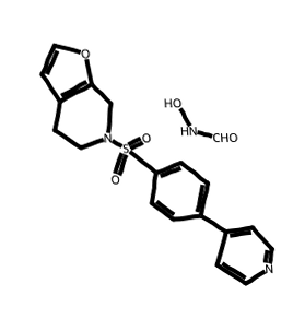 O=CNO.O=S(=O)(c1ccc(-c2ccncc2)cc1)N1CCc2ccoc2C1